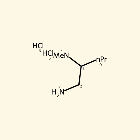 CCCC(CN)NC.Cl.Cl